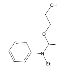 CCN(c1ccccc1)C(C)OCCO